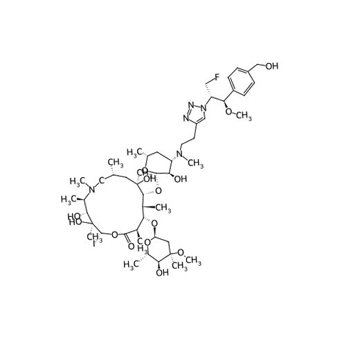 CO[C@H](c1ccc(CO)cc1)[C@@H](CF)n1cc(CCN(C)[C@H]2C[C@@H](C)O[C@@H](O[C@@H]3[C@@H](C)[C@H](O[C@H]4C[C@@](C)(OC)[C@@H](O)[C@H](C)O4)[C@@H](C)C(=O)O[C@H](I)[C@@](C)(O)[C@H](O)[C@@H](C)N(C)C[C@H](C)C[C@@]3(C)O)[C@@H]2O)nn1